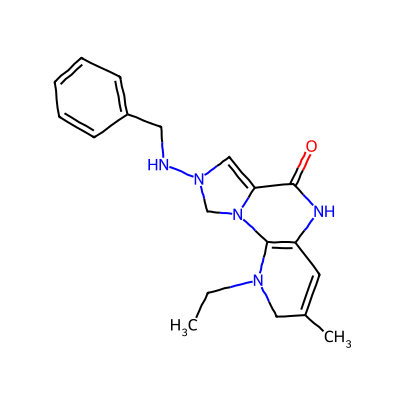 CCN1CC(C)=CC2=C1N1CN(NCc3ccccc3)C=C1C(=O)N2